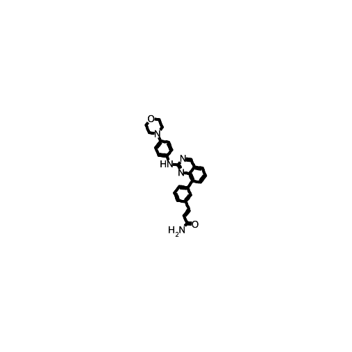 NC(=O)C=Cc1cccc(-c2cccc3cnc(Nc4ccc(N5CCOCC5)cc4)nc23)c1